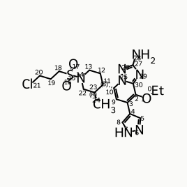 CCOc1c(-c2cn[nH]c2)cc([C@H]2CCN(S(=O)(=O)CCCCl)C[C@@H]2C)n2nc(N)nc12